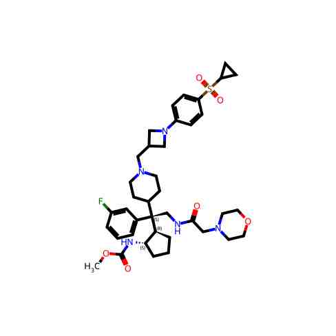 COC(=O)N[C@H]1CCC[C@@H]1[C@](CNC(=O)CN1CCOCC1)(c1cccc(F)c1)C1CCN(CC2CN(c3ccc(S(=O)(=O)C4CC4)cc3)C2)CC1